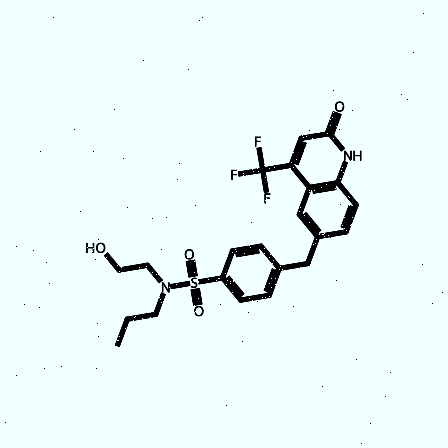 CCCN(CCO)S(=O)(=O)c1ccc(Cc2ccc3[nH]c(=O)cc(C(F)(F)F)c3c2)cc1